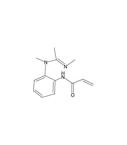 C=CC(=O)Nc1ccccc1N(C)C(C)=NC